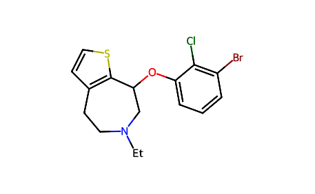 CCN1CCc2ccsc2C(Oc2cccc(Br)c2Cl)C1